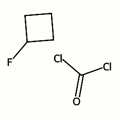 FC1CCC1.O=C(Cl)Cl